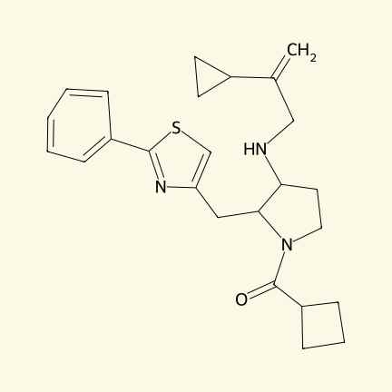 C=C(CNC1CCN(C(=O)C2CCC2)C1Cc1csc(-c2ccccc2)n1)C1CC1